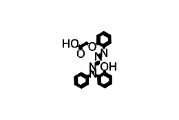 O=C(O)COc1ccccc1N=NC=NN(c1ccccc1)c1ccccc1O